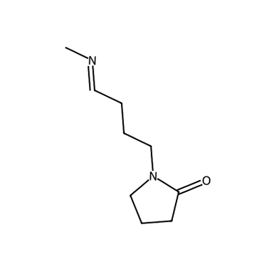 CN=CCCCN1CCCC1=O